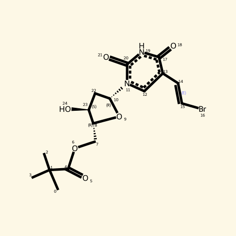 CC(C)(C)C(=O)OC[C@H]1O[C@@H](n2cc(/C=C/Br)c(=O)[nH]c2=O)C[C@@H]1O